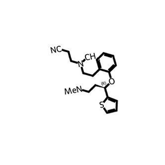 CNCC[C@@H](Oc1ccccc1CCN(C)CCC#N)c1cccs1